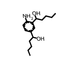 CCCCC(O)c1ccc(N)c(C(O)CCCC)c1